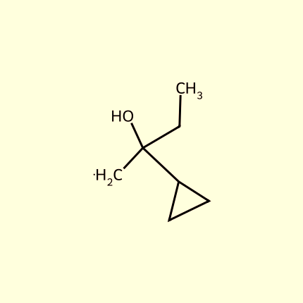 [CH2]C(O)(CC)C1CC1